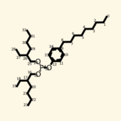 CCCCCCCCCc1ccc(OP(OCC(CC)CCCC)OCC(CC)CCCC)cc1